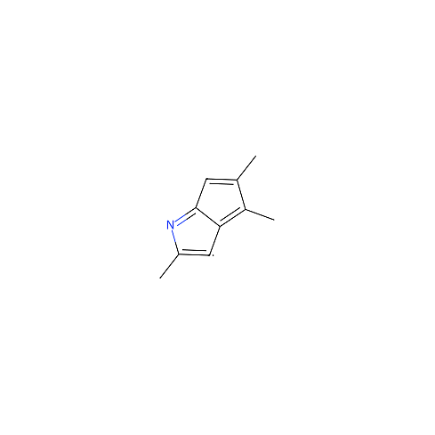 CC1=[C]C2=C(C)C(C)=CC2=N1